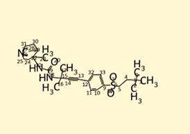 CC(C)(C)CCS(=O)(=O)c1ccc(C#CC(C)(C)NC(=O)NC2(C)CCN3CCC2CC3)cc1